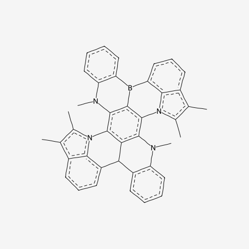 Cc1c(C)n2c3c(cccc13)B1c3ccccc3N(C)c3c1c-2c1c2c3-n3c(C)c(C)c4cccc(c43)C2c2ccccc2N1C